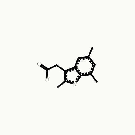 Cc1cc(C)c2oc(C)c(CC(=O)Cl)c2c1